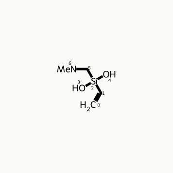 C=C[Si](O)(O)CNC